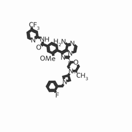 COc1cc(C(=O)Nc2cc(C(F)(F)F)ccn2)ccc1-c1nc([C@H]2CN(C3CN(Cc4ccccc4F)C3)[C@@H](C)CO2)n2ccnc(N)c12